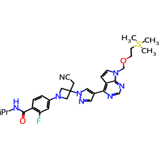 CC(C)NC(=O)c1ccc(N2CC(CC#N)(n3cc(-c4ncnc5c4ccn5COCCS(C)(C)C)cn3)C2)cc1F